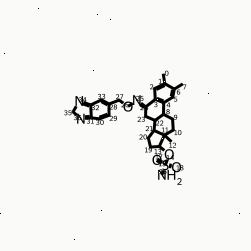 Cc1cc2c(cc1C)C1CCC3(C)C(OS(N)(=O)=O)CCC3C1C/C2=N\OCc1ccc2c(c1)=NCN=2